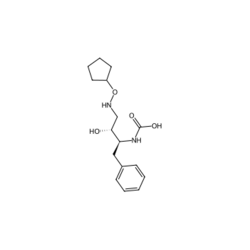 O=C(O)N[C@@H](Cc1ccccc1)[C@H](O)CNOC1CCCC1